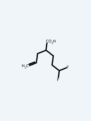 C=CCC(CCC(F)F)C(=O)O